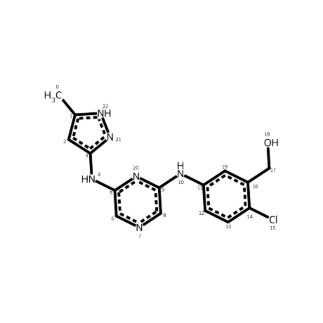 Cc1cc(Nc2cncc(Nc3ccc(Cl)c(CO)c3)n2)n[nH]1